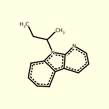 CCC(C)n1c2ccccc2c2cccnc21